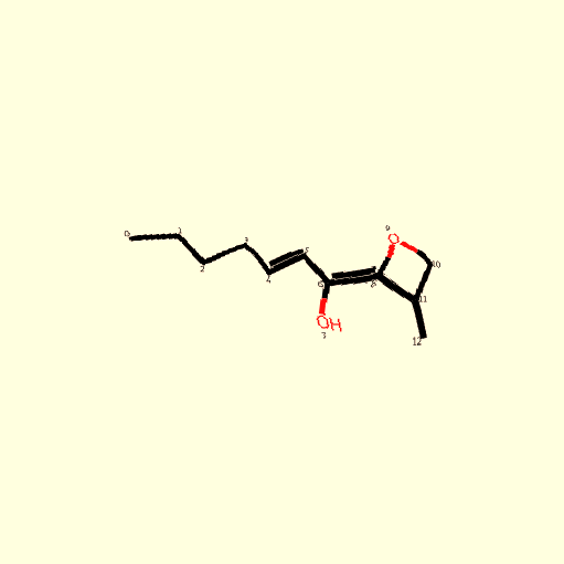 CCCCC=CC(O)=C1OCC1C